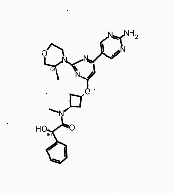 C[C@H]1COCCN1c1nc(O[C@H]2C[C@H](N(C)C(=O)[C@H](O)c3ccccc3)C2)cc(-c2cnc(N)nc2)n1